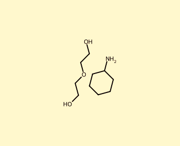 NC1CCCCC1.OCCOCCO